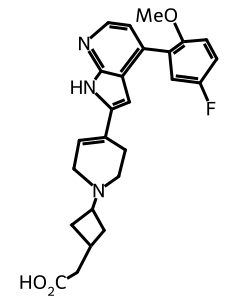 COc1ccc(F)cc1-c1ccnc2[nH]c(C3=CCN(C4CC(CC(=O)O)C4)CC3)cc12